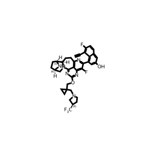 C#Cc1c(F)ccc2cc(O)cc(-c3nc4c5c(nc(OCC6(CN7CC[C@@H](C(F)(F)F)C7)CC6)nc5c3F)N3C[C@H]5CC[C@H](N5)[C@H]3CC4)c12